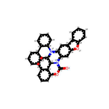 O=c1oc2cccc3ccc4c(c32)-n1c1cc2oc3ccccc3c2cc1n4-c1ccccc1-c1ccccc1